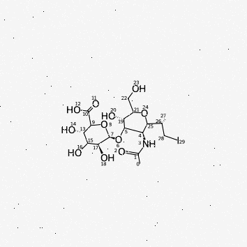 CC(=O)N[C@H]1C(O[C@@H]2OC(C(=O)O)[C@@H](O)C(O)[C@@H]2O)[C@H](O)C(CO)OC1[C@H](C)CI